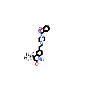 CC1(C)CC(=O)Nc2ccc(CCN3CCN(c4noc5ccccc45)CC3)cc21